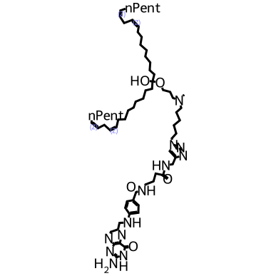 CCCCC/C=C\C/C=C\CCCCCCCCC(O)(CCCCCCCC/C=C\C/C=C\CCCCC)OCCCN(C)CCCCCCn1cc(CNC(=O)CCCNC(=O)c2ccc(NCc3cnc4nc(N)[nH]c(=O)c4n3)cc2)nn1